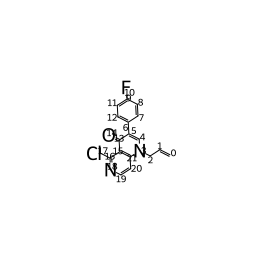 C=CCn1cc(-c2ccc(F)cc2)c(=O)c2c(Cl)nccc21